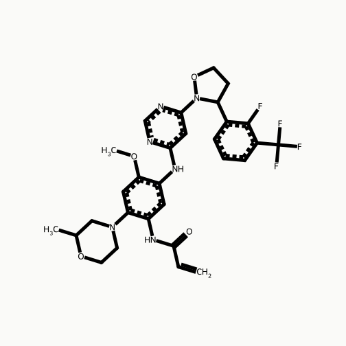 C=CC(=O)Nc1cc(Nc2cc(N3OCCC3c3cccc(C(F)(F)F)c3F)ncn2)c(OC)cc1N1CCOC(C)C1